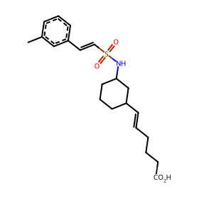 Cc1cccc(/C=C/S(=O)(=O)NC2CCCC(/C=C/CCCC(=O)O)C2)c1